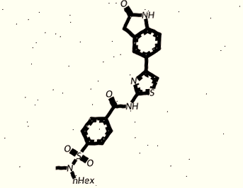 CCCCCCN(C)S(=O)(=O)c1ccc(C(=O)Nc2nc(-c3ccc4c(c3)CC(=O)N4)cs2)cc1